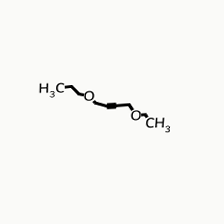 CCCOCC#CCOCC